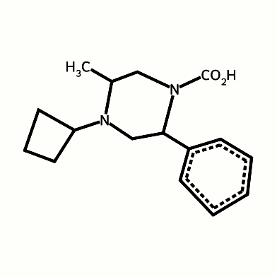 CC1CN(C(=O)O)C(c2ccccc2)CN1C1CCC1